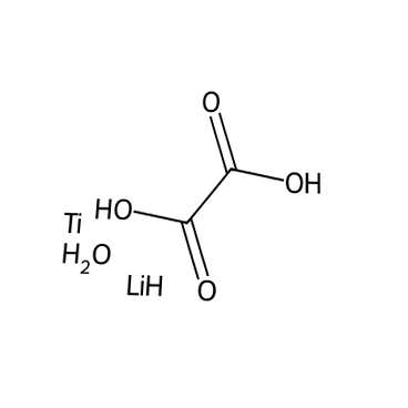 O.O=C(O)C(=O)O.[LiH].[Ti]